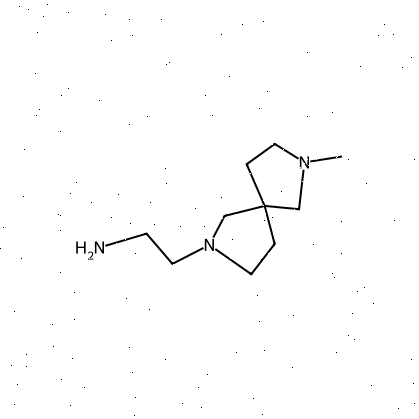 CN1CCC2(CCN(CCN)C2)C1